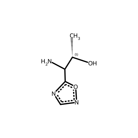 C[C@H](O)C(N)c1ncno1